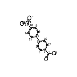 O=C(Cl)c1ccc(-c2ccc([N+](=O)[O-])cc2)cc1